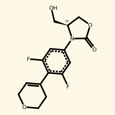 O=C1OC[C@H](CO)N1c1cc(F)c(C2=CCOCC2)c(F)c1